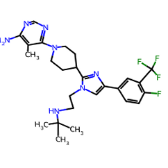 Cc1c(N)ncnc1N1CCC(c2nc(-c3ccc(F)c(C(F)(F)F)c3)cn2CCNC(C)(C)C)CC1